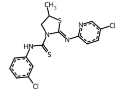 CC1CN(C(=S)Nc2cccc(Cl)c2)/C(=N/c2ccc(Cl)cn2)S1